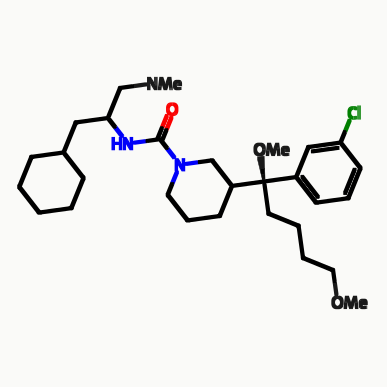 CNCC(CC1CCCCC1)NC(=O)N1CCCC([C@](CCCCOC)(OC)c2cccc(Cl)c2)C1